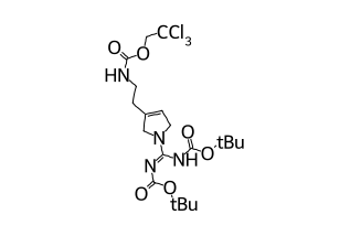 CC(C)(C)OC(=O)N=C(NC(=O)OC(C)(C)C)N1CC=C(CCNC(=O)OCC(Cl)(Cl)Cl)C1